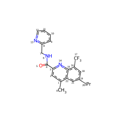 Cc1cc(C(=O)NCc2ccccn2)nc2c(C(F)(F)F)cc(C(C)C)cc12